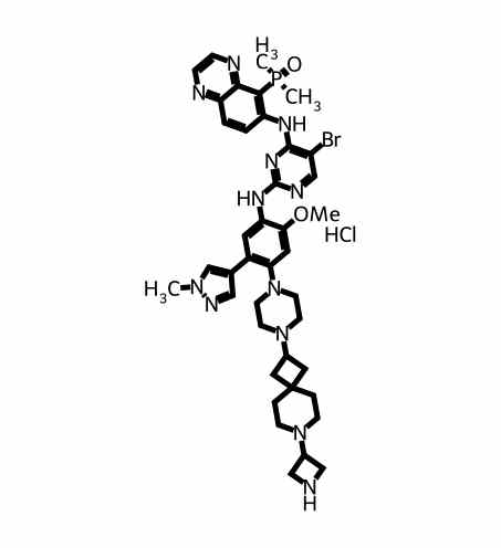 COc1cc(N2CCN(C3CC4(CCN(C5CNC5)CC4)C3)CC2)c(-c2cnn(C)c2)cc1Nc1ncc(Br)c(Nc2ccc3nccnc3c2P(C)(C)=O)n1.Cl